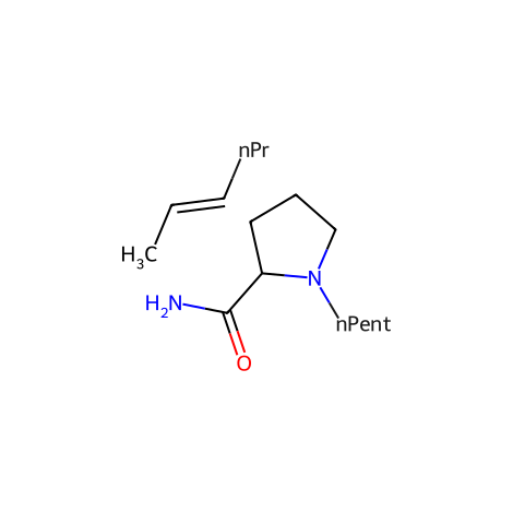 CC=CCCC.CCCCCN1CCCC1C(N)=O